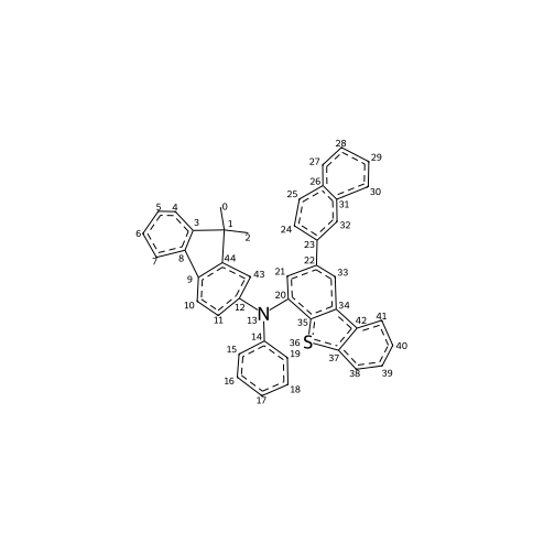 CC1(C)c2ccccc2-c2ccc(N(c3ccccc3)c3cc(-c4ccc5ccccc5c4)cc4c3sc3ccccc34)cc21